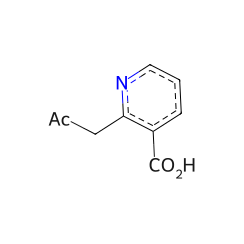 CC(=O)Cc1ncccc1C(=O)O